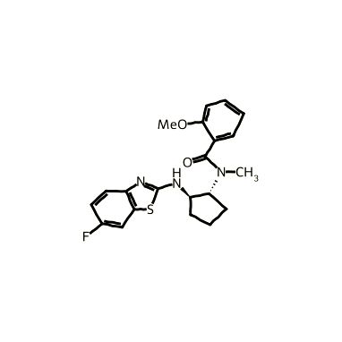 COc1ccccc1C(=O)N(C)[C@@H]1CCC[C@H]1Nc1nc2ccc(F)cc2s1